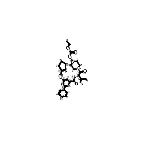 CCOC(=O)ON1CCN(C(=O)[C@@H](NC(=O)c2cc(OC3CCCC3)nc(-c3ccccc3)n2)C(C)C)CC1